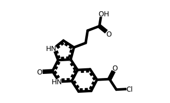 O=C(O)CCc1c[nH]c2c(=O)[nH]c3ccc(C(=O)CCl)cc3c12